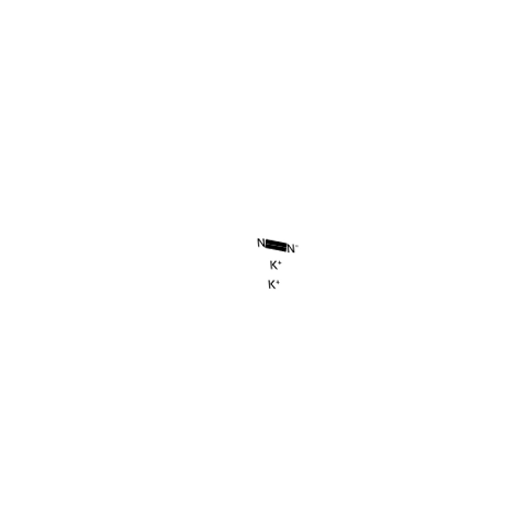 [K+].[K+].[N-]=[N-]